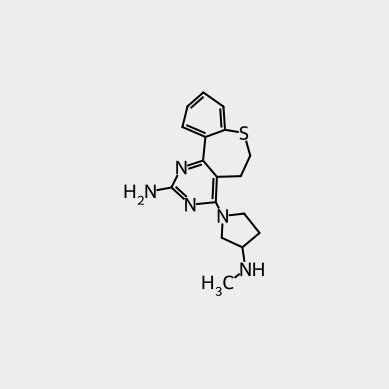 CNC1CCN(c2nc(N)nc3c2CCSc2ccccc2-3)C1